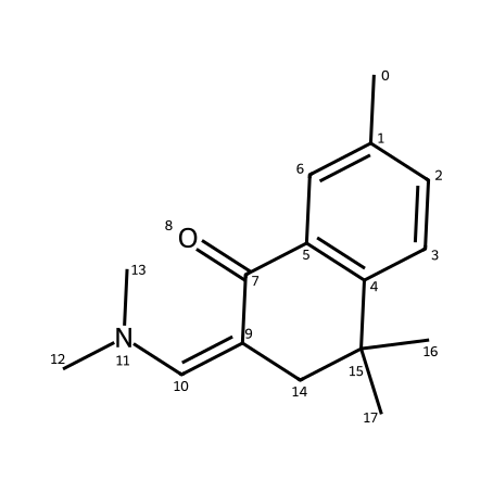 Cc1ccc2c(c1)C(=O)C(=CN(C)C)CC2(C)C